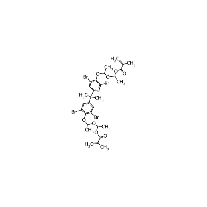 C=C(C)C(=O)OC(C)OC(C)Oc1c(Br)cc(C(C)(C)c2cc(Br)c(OC(C)OC(C)OC(=O)C(=C)C)c(Br)c2)cc1Br